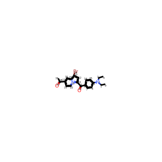 CCN(CC)c1ccc(C(=O)c2cc(Br)c3cc(C(C)=O)ccn23)cc1